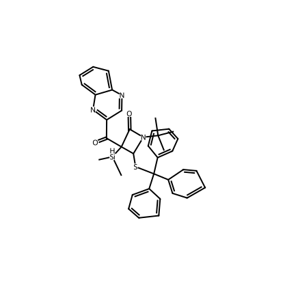 C[SiH](C)C1(C(=O)c2cnc3ccccc3n2)C(=O)N(C(C)(C)C)C1SC(c1ccccc1)(c1ccccc1)c1ccccc1